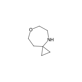 C1COCCC2(CC2)N1